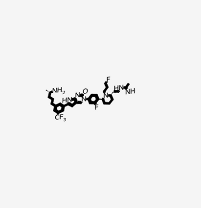 CC(=N)NCC[C@@H]1CCC[C@@H](c2ccc(-n3cc4cc(-c5cc(CCC[C@H](C)N)cc(C(F)(F)F)c5)[nH]c4nc3=O)cc2F)N1CCCF